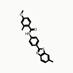 COc1ccc(C(=O)Nc2ccc(-c3nc4ccc(C)cc4s3)cc2)c(C)c1